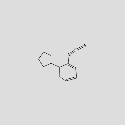 S=C=Nc1ccccc1C1CCCC1